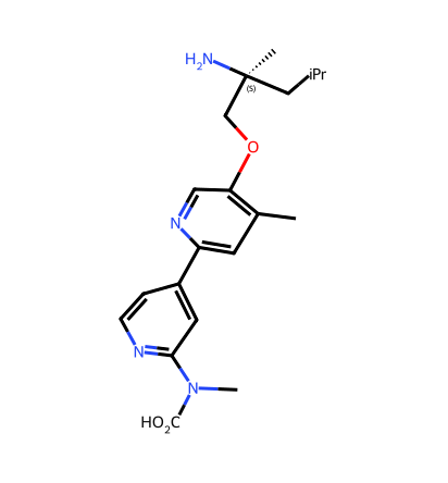 Cc1cc(-c2ccnc(N(C)C(=O)O)c2)ncc1OC[C@@](C)(N)CC(C)C